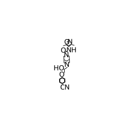 Cc1noc(C)c1NC(=O)N1CC2CC(CN(CC(O)COc3ccc(C#N)cc3)C2)C1